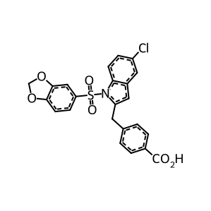 O=C(O)c1ccc(Cc2cc3cc(Cl)ccc3n2S(=O)(=O)c2ccc3c(c2)OCO3)cc1